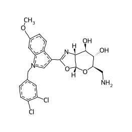 COc1ccc2c(C3=N[C@H]4[C@@H](O3)O[C@H](CN)[C@@H](O)[C@@H]4O)cn(Cc3ccc(Cl)c(Cl)c3)c2c1